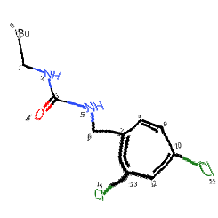 CC(C)(C)CNC(=O)NCc1ccc(Cl)cc1Cl